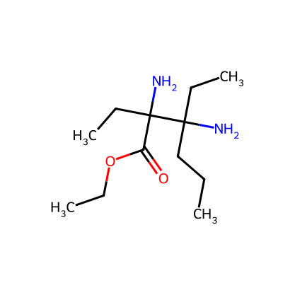 CCCC(N)(CC)C(N)(CC)C(=O)OCC